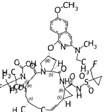 CCN(C)c1cc2cc(OC)ccc2c(O[C@@H]2C[C@H]3C(=O)N[C@]4(C(=O)NS(=O)(=O)C5(CF)CC5)C[C@H]4C=CCC[C@H](C)C[C@@H](C)[C@H](N(C(=O)O)C(C)(C)C(F)(F)F)C(=O)N3C2)n1